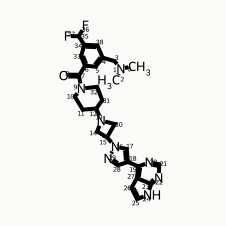 CN(C)Cc1cc(C(=O)N2CCC(N3C[C](n4cc(-c5ncnc6[nH]ccc56)cn4)C3)CC2)cc(C(F)F)c1